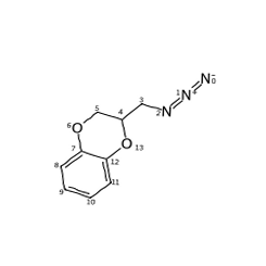 [N-]=[N+]=NCC1COc2ccccc2O1